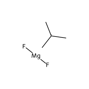 C[C](C)C.[F][Mg][F]